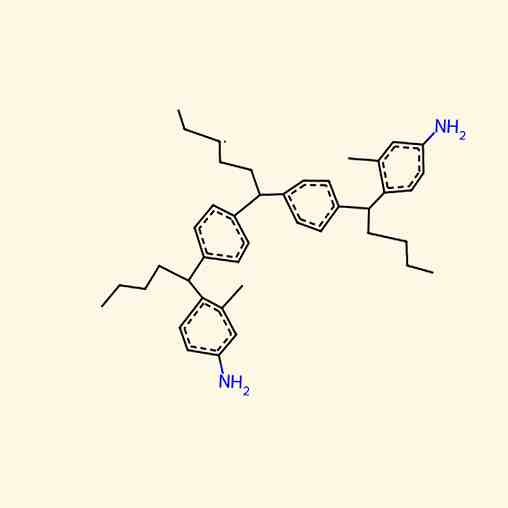 CC[CH]CCC(c1ccc(C(CCCC)c2ccc(N)cc2C)cc1)c1ccc(C(CCCC)c2ccc(N)cc2C)cc1